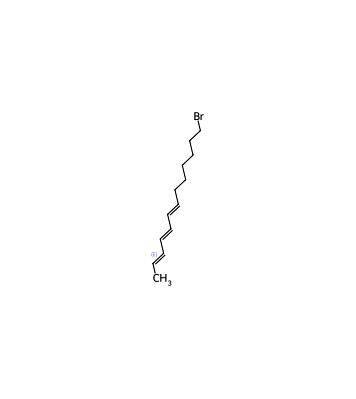 C/C=C/C=CC=CCCCCCCBr